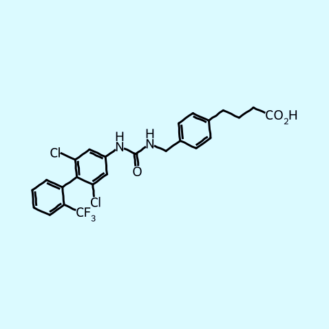 O=C(O)CCCc1ccc(CNC(=O)Nc2cc(Cl)c(-c3ccccc3C(F)(F)F)c(Cl)c2)cc1